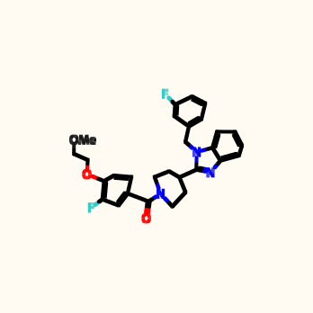 COCCOc1ccc(C(=O)N2CCC(c3nc4ccccc4n3Cc3cccc(F)c3)CC2)cc1F